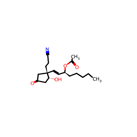 CCCCC[C@@H](C=C[C@@]1(CCC#N)CC(=O)C[C@H]1O)OC(C)=O